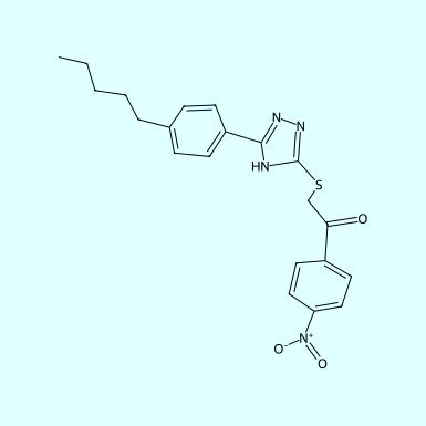 CCCCCc1ccc(-c2nnc(SCC(=O)c3ccc([N+](=O)[O-])cc3)[nH]2)cc1